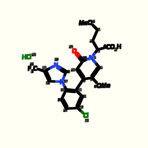 COCCC(C(=O)O)n1cc(OC)c(-c2cc(Cl)ccc2-n2cnc(C(F)(F)F)c2)cc1=O.Cl